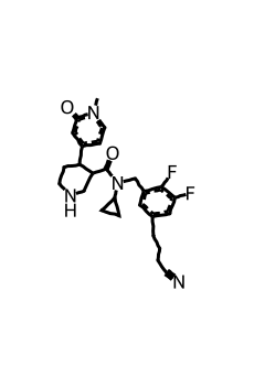 Cn1ccc(C2CCNCC2C(=O)N(Cc2cc(CCCC#N)cc(F)c2F)C2CC2)cc1=O